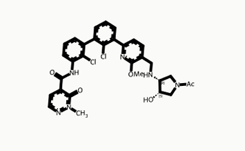 COc1nc(-c2cccc(-c3cccc(NC(=O)c4ccnn(C)c4=O)c3Cl)c2Cl)ccc1CN[C@@H]1CN(C(C)=O)C[C@@H]1O